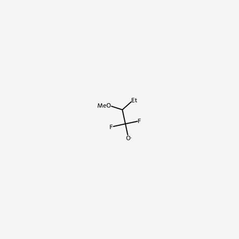 CCC(OC)C([O])(F)F